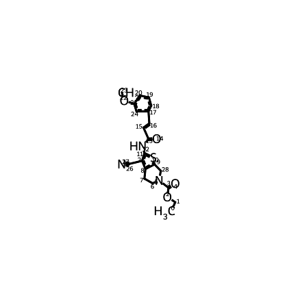 CCOC(=O)N1CCc2c(sc(NC(=O)C=Cc3cccc(OC)c3)c2C#N)C1